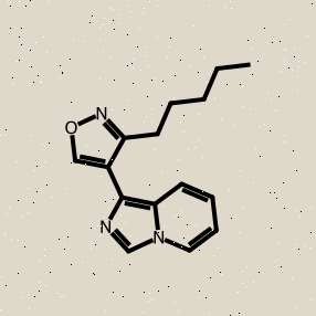 CCCCCc1nocc1-c1ncn2ccccc12